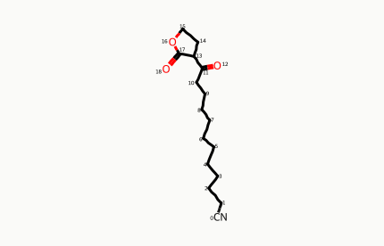 N#CCCCCCCCCCCC(=O)C1CCOC1=O